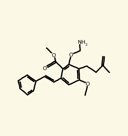 C=C(C)CCc1c(OC)cc(C=Cc2ccccc2)c(C(=O)OC)c1OCN